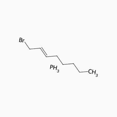 CCCCCC=CCBr.P